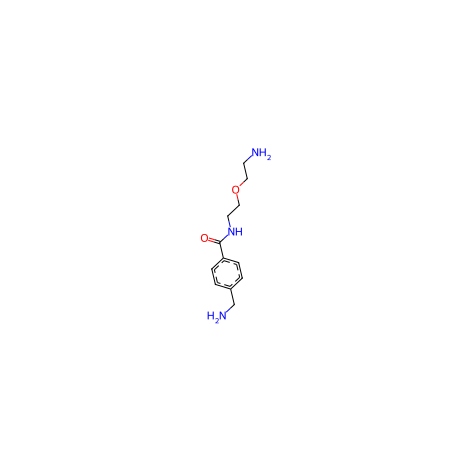 NCCOCCNC(=O)c1ccc(CN)cc1